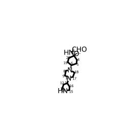 O=CN[C@]1([O])CC[C@@H](N2CCN(C3CCNCC3)CC2)CC1